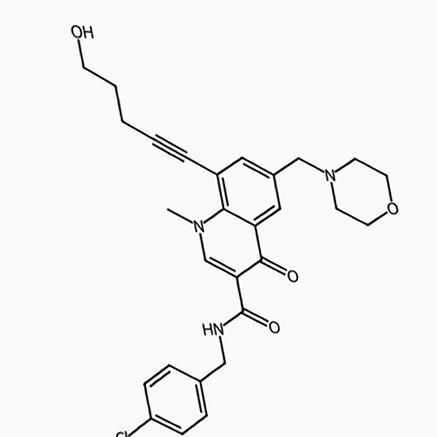 Cn1cc(C(=O)NCc2ccc(Cl)cc2)c(=O)c2cc(CN3CCOCC3)cc(C#CCCCO)c21